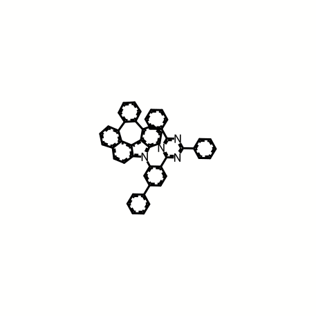 c1ccc(-c2ccc(-c3nc(-c4ccccc4)nc(-c4ccccc4)n3)c(-n3c4cccc5c4c4c6c(cccc6ccc43)-c3ccccc3-5)c2)cc1